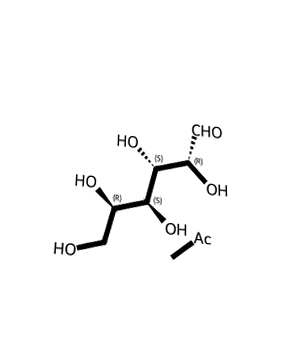 CC(C)=O.O=C[C@H](O)[C@@H](O)[C@@H](O)[C@H](O)CO